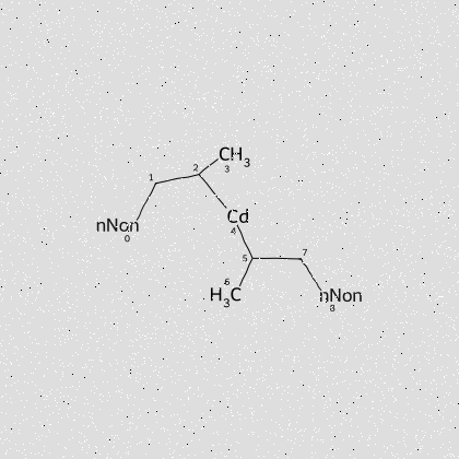 CCCCCCCCCC[CH](C)[Cd][CH](C)CCCCCCCCCC